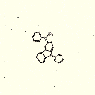 CC(C)N(c1ccccc1)c1ccc2c(c1)c1ccccc1n2-c1ccccc1